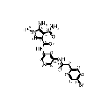 CC(C)n1nc(C(=O)Nc2cncc(NC(=O)Cc3ccc(Br)cc3)c2)c(C(N)=O)c1N